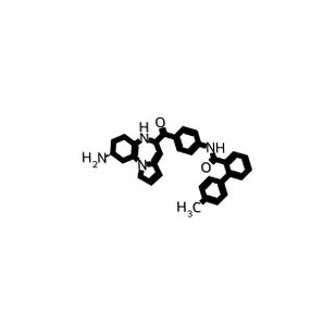 Cc1ccc(-c2ccccc2C(=O)Nc2ccc(C(=O)C3C=C4C=CCN4C4=C(CC[C@@H](N)C4)N3)cc2)cc1